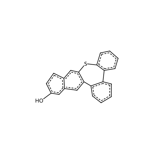 Oc1ccc2cc3c(cc2c1)-c1ccccc1-c1ccccc1S3